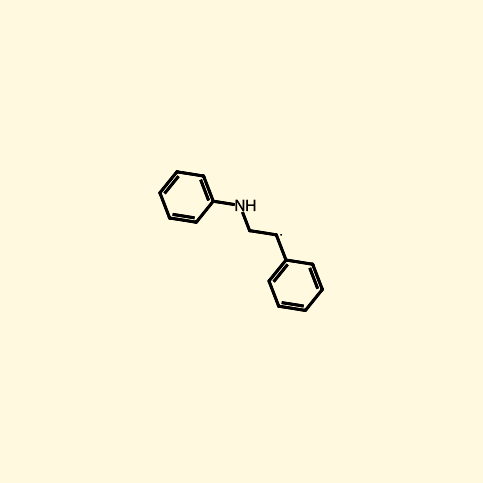 [CH](CNc1ccccc1)c1ccccc1